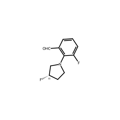 O=Cc1cccc(F)c1N1CC[C@H](F)C1